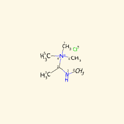 CNC(C)[N+](C)(C)C.[Cl-]